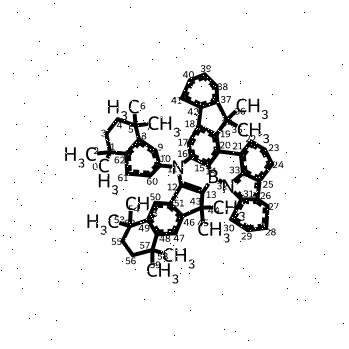 CC1(C)CCC(C)(C)c2cc(N3C4=C(B5c6c3cc3c(c6-c6cccc7c8ccccc8n5c67)C(C)(C)c5ccccc5-3)C(C)(C)c3cc5c(cc34)C(C)(C)CCC5(C)C)ccc21